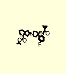 CC(C)OC(=O)N1CCCC2CC(N3CCC4(CC3)CN(C(=O)C3CC3)c3ccc(F)cc34)CC21